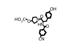 N#Cc1ccc(C(=O)NC(Cc2ccc(O)cc2)C(=O)N2CCC(OCC(=O)O)CC2)cc1